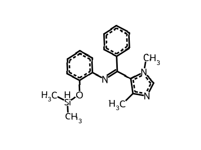 Cc1ncn(C)c1C(=Nc1ccccc1O[SiH](C)C)c1ccccc1